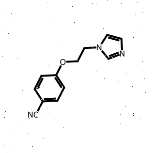 N#Cc1ccc(OCCn2ccnc2)cc1